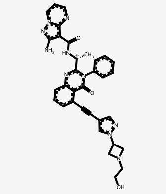 C[C@@H](NC(=O)c1c(N)nn2cccnc12)c1nc2cccc(C#Cc3cnn(C4CN(CCO)C4)c3)c2c(=O)n1-c1ccccc1